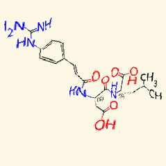 CC(C)C[C@H](NC(=O)[C@H](CC(=O)O)NC(=O)C=Cc1ccc(NC(=N)N)cc1)C(=O)O